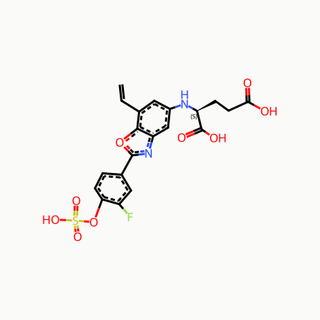 C=Cc1cc(N[C@@H](CCC(=O)O)C(=O)O)cc2nc(-c3ccc(OS(=O)(=O)O)c(F)c3)oc12